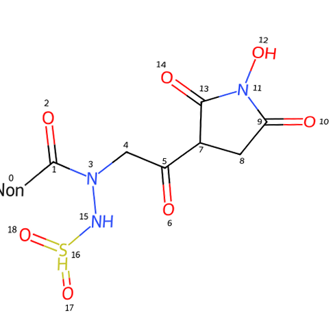 CCCCCCCCCC(=O)N(CC(=O)C1CC(=O)N(O)C1=O)N[SH](=O)=O